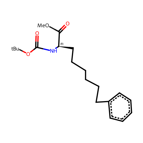 COC(=O)[C@@H](CCCCCCc1ccccc1)NC(=O)OC(C)(C)C